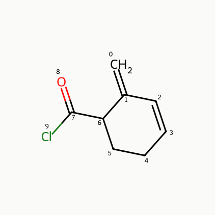 C=C1C=CCCC1C(=O)Cl